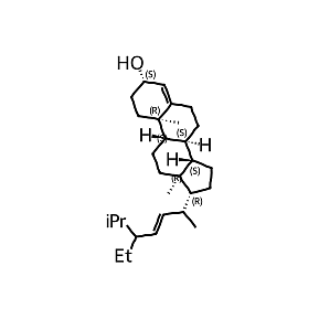 CCC(C=CC(C)[C@H]1CC[C@H]2[C@@H]3CCC4=C[C@@H](O)CC[C@]4(C)[C@H]3CC[C@]12C)C(C)C